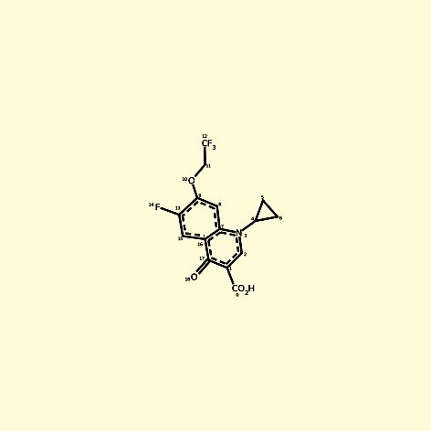 O=C(O)c1cn(C2CC2)c2cc(OCC(F)(F)F)c(F)cc2c1=O